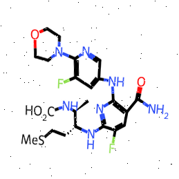 CSCC[C@@H](Nc1nc(Nc2cnc(N3CCOCC3)c(F)c2)c(C(N)=O)cc1F)[C@H](C)NC(=O)O